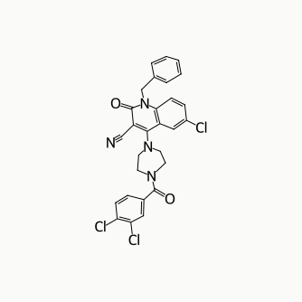 N#Cc1c(N2CCN(C(=O)c3ccc(Cl)c(Cl)c3)CC2)c2cc(Cl)ccc2n(Cc2ccccc2)c1=O